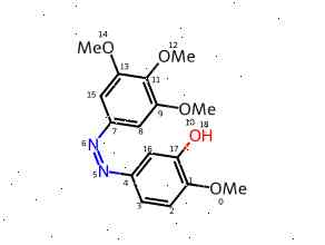 COc1ccc(/N=N\c2cc(OC)c(OC)c(OC)c2)cc1O